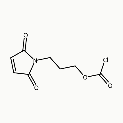 O=C(Cl)OCCCN1C(=O)C=CC1=O